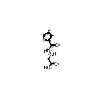 O=C(O)CNNC(=O)c1cccs1